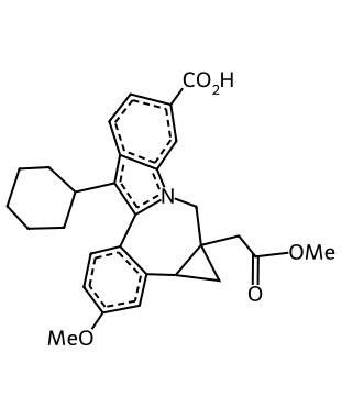 COC(=O)CC12CC1c1cc(OC)ccc1-c1c(C3CCCCC3)c3ccc(C(=O)O)cc3n1C2